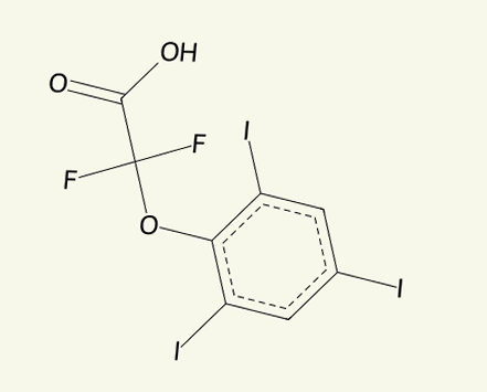 O=C(O)C(F)(F)Oc1c(I)cc(I)cc1I